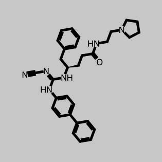 N#C/N=C(\Nc1ccc(-c2ccccc2)cc1)N[C@H](CCC(=O)NCCN1CCCC1)Cc1ccccc1